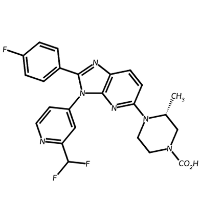 C[C@@H]1CN(C(=O)O)CCN1c1ccc2nc(-c3ccc(F)cc3)n(-c3ccnc(C(F)F)c3)c2n1